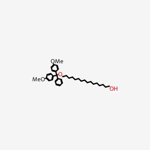 COc1ccc(C(OCCCCCCCCCCCCCCCCO)(c2ccccc2)c2ccc(OC)cc2)cc1